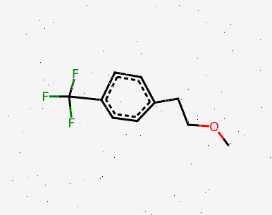 COCCc1ccc(C(F)(F)F)cc1